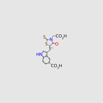 O=C(O)CN1C(=O)/C(=C/c2c[nH]c3ccc(C(=O)O)cc23)SC1=S